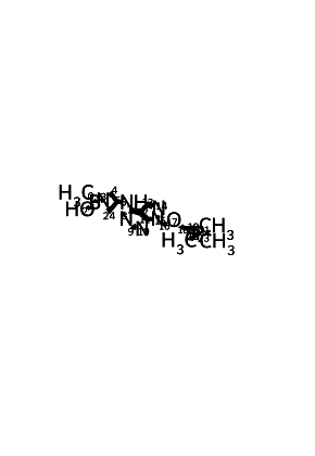 CB(O)N1CC(Nc2ncnc3c2cnn3COCC[Si](C)(C)C)C1